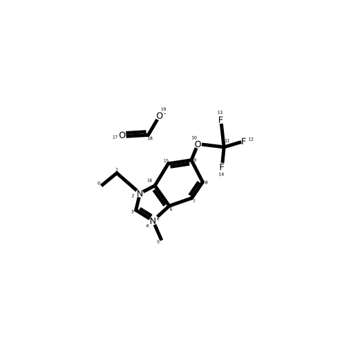 CCn1c[n+](C)c2ccc(OC(F)(F)F)cc21.O=C[O-]